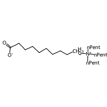 CCCCCCCCCC(=O)[O-].CCCCC[N+](C)(CCCCC)CCCCC